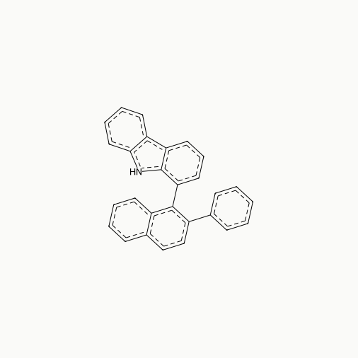 c1ccc(-c2ccc3ccccc3c2-c2cccc3c2[nH]c2ccccc23)cc1